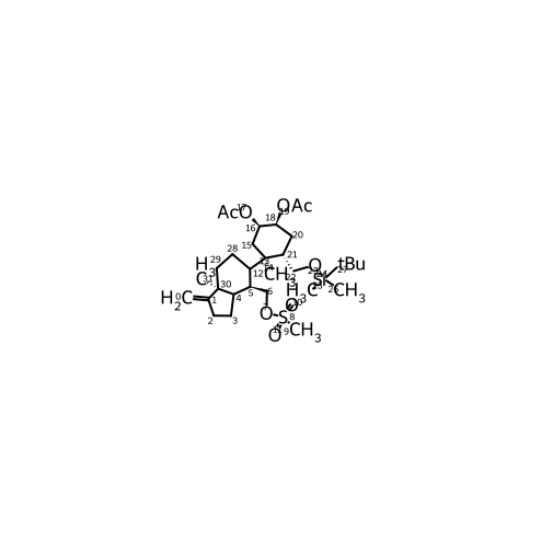 C=C1CCC2[C@H](COS(C)(=O)=O)C([C@@]3(C)C[C@@H](OC(C)=O)[C@@H](OC(C)=O)C[C@@H]3CO[Si](C)(C)C(C)(C)C)CC[C@]12C